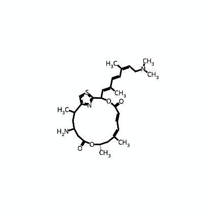 CC(=C/CN(C)C)/C=C/C(C)=C/C1OC(=O)/C=C/C=C(/C)C[C@H](C)OC(=O)CC(N)CC(C)c2csc1n2